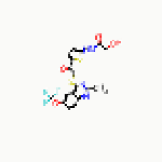 Cc1nc(SCC(=O)c2ccc(CNC(=O)CO)s2)c2cc(OC(F)(F)F)ccc2n1